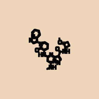 CNc1cc(Nc2cccn(-c3cnn4ccccc34)c2=O)nc2c(C(=O)N[C@@H]3CC[C@H]3OC)cnn12